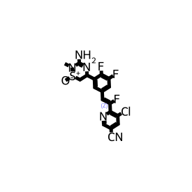 CN1C(N)=NC(c2cc(/C=C(\F)c3ncc(C#N)cc3Cl)cc(F)c2F)C[S+]1[O-]